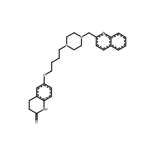 O=C1CCc2cc(OCCCCN3CCN(Cc4ccc5ccccc5n4)CC3)ccc2N1